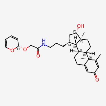 CC1=CC(=O)C=C2CC[C@H]3[C@@H]4[C@@H](CCCNC(=O)CO[C@H]5C=CC=CO5)C[C@H](O)[C@@]4(C)CC[C@@H]3[C@@]12C